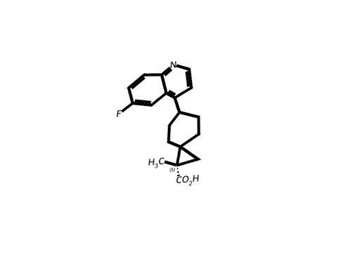 C[C@]1(C(=O)O)CC12CCC(c1ccnc3ccc(F)cc13)CC2